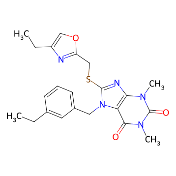 CCc1cccc(Cn2c(SCc3nc(CC)co3)nc3c2c(=O)n(C)c(=O)n3C)c1